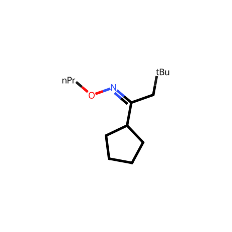 CCCO/N=C(/CC(C)(C)C)C1CCCC1